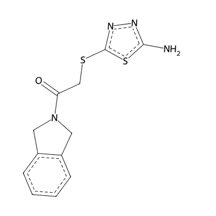 Nc1nnc(SCC(=O)N2Cc3ccccc3C2)s1